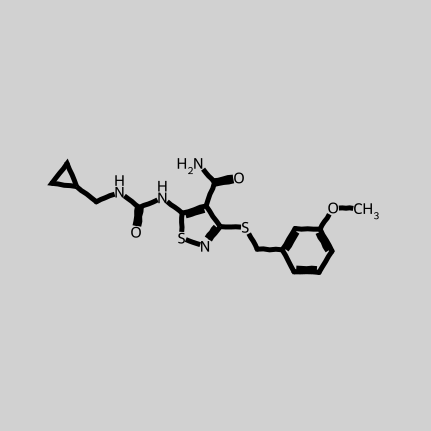 COc1cccc(CSc2nsc(NC(=O)NCC3CC3)c2C(N)=O)c1